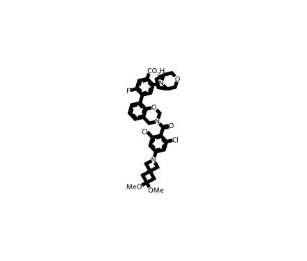 COC1(OC)CC2(CN(c3cc(Cl)c(C(=O)N4COc5c(cccc5-c5cc(N6C7CCC6COC7)c(C(=O)O)cc5F)C4)c(Cl)c3)C2)C1